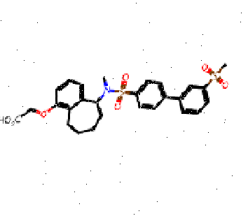 CN(C1CCCCc2c(OCC(=O)O)cccc21)S(=O)(=O)c1ccc(-c2cccc(S(C)(=O)=O)c2)cc1